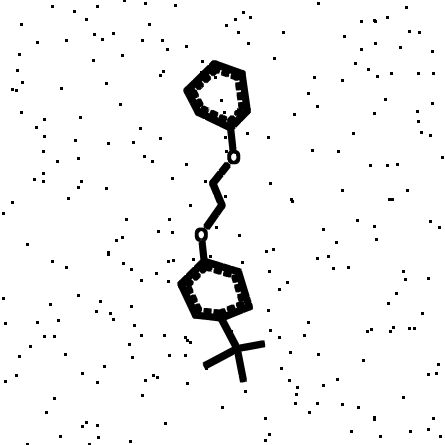 CC(C)(C)c1ccc(OCCOc2ccccc2)cc1